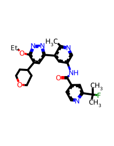 CCOc1nnc(-c2cc(NC(=O)c3ccnc(C(C)(C)F)c3)cnc2C)cc1C1CCOCC1